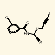 N#CC(NC(=O)c1cccc(Cl)c1)OCC#CI